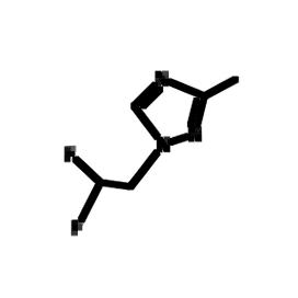 Cc1ncn(CC(F)F)n1